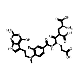 CN(CCc1c[nH]c2nc(N)nc(O)c12)c1ccc(C(=O)N[C@@H](CCC(=O)O)C(=O)C(C[C@H](N)C(=O)O)C(=O)O)cc1F